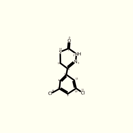 O=C1NN=C(c2cc(Cl)cc(Cl)c2)CS1